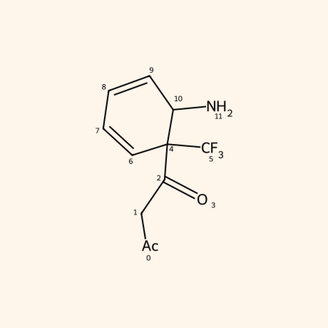 CC(=O)CC(=O)C1(C(F)(F)F)C=CC=CC1N